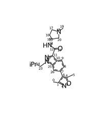 Cc1noc(C)c1-c1ccc2c(C(=O)N[C@@H]3CCN(C)C3)nn(CC(C)C)c2c1